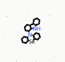 c1ccc2c(c1)[Se]c1ccccc1N2c1cccc2c1[nH]c1ccccc12